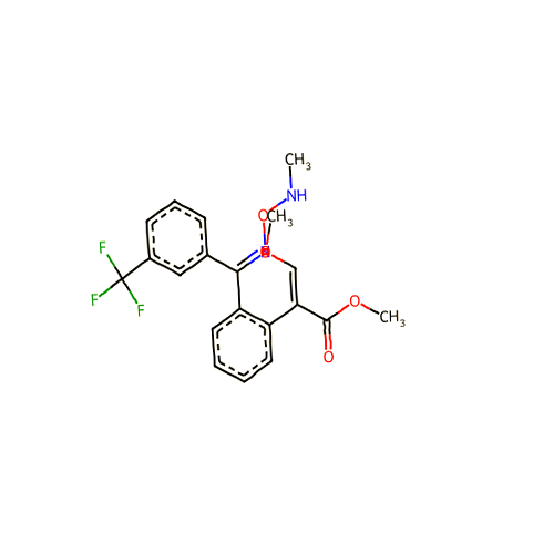 CNON=C(c1cccc(C(F)(F)F)c1)c1ccccc1/C(=C\OC)C(=O)OC